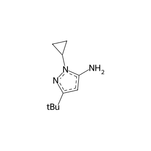 CC(C)(C)c1cc(N)n(C2CC2)n1